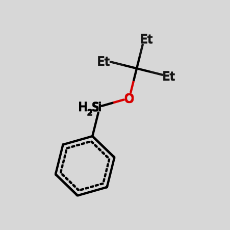 CCC(CC)(CC)O[SiH2]c1ccccc1